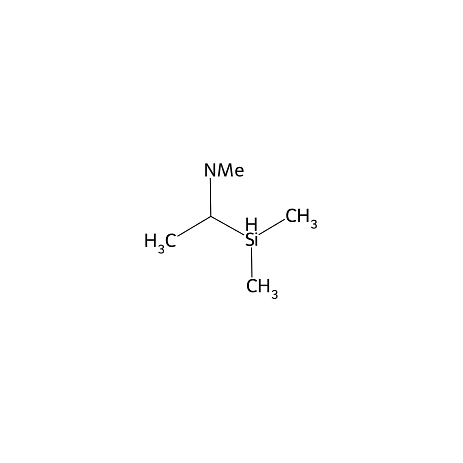 CNC(C)[SiH](C)C